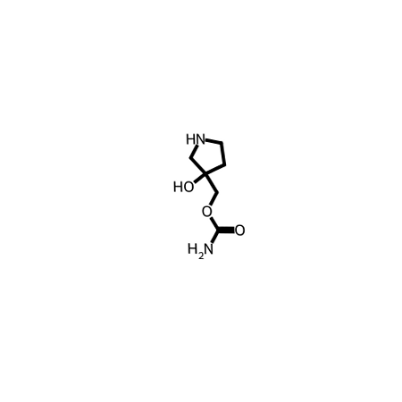 NC(=O)OCC1(O)CCNC1